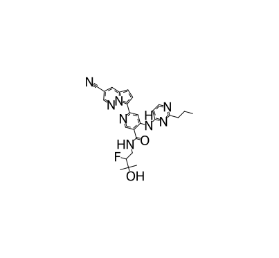 CCCc1nccc(Nc2cc(-c3ccc4cc(C#N)cnn34)ncc2C(=O)NCC(F)C(C)(C)O)n1